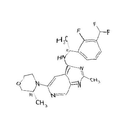 Cc1nc(N[C@H](C)c2cccc(C(F)F)c2F)c2cc(N3CCOC[C@H]3C)ncc2n1